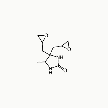 CC1NC(=O)NC1(CC1CO1)CC1CO1